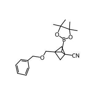 CC1(C)OB(C2C3(C#N)CC2(COCc2ccccc2)C3)OC1(C)C